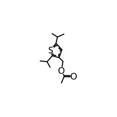 CC(=O)OCc1cc(C(C)C)sc1C(C)C